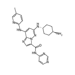 Cc1ccc(Nc2cc(N[C@H]3CC[C@H](N)CC3)nn3c(C(=O)Nc4ccncn4)cnc23)nc1